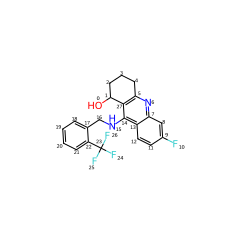 OC1CCCc2nc3cc(F)ccc3c(NCc3ccccc3C(F)(F)F)c21